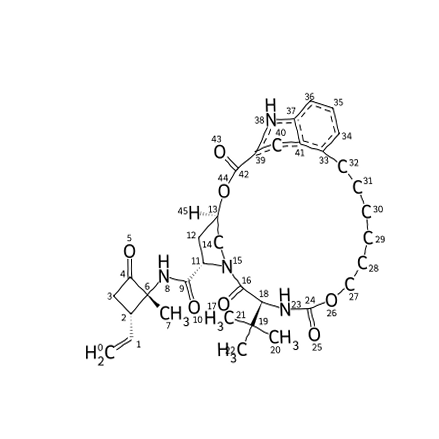 C=C[C@@H]1CC(=O)[C@]1(C)NC(=O)[C@@H]1C[C@@H]2CN1C(=O)[C@H](C(C)(C)C)NC(=O)OCCCCCCc1cccc3[nH]c(cc13)C(=O)O2